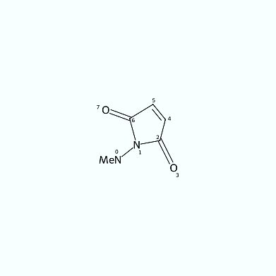 CNN1C(=O)C=CC1=O